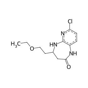 CCOCCC1CC(=O)Nc2ccc(Cl)nc2N1